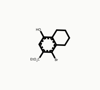 CCOC(=O)c1cc(O)c2c(c1Br)CCCC2